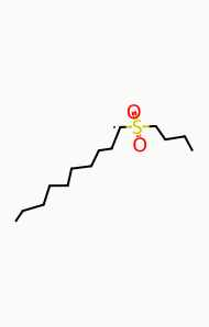 CCCCCCCCC[CH]S(=O)(=O)CCCC